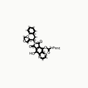 CCCCCC(=O)Oc1c2c(c(O)c3nccnc13)C(=O)N(C(Cc1ccccc1)C1=COCO1)C2=O